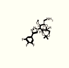 CO[C@@H]1C(n2cc(-c3cc(F)c(F)c(F)c3)nn2)[C@H]2OC(C)(C)OC[C@H]2O[C@@H]1CN